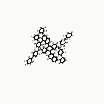 C1=CC(C2C=CC(N(c3ccc(-c4ccccc4)cc3)c3ccc4c(-c5ccc6cc(-c7ccccc7)ccc6c5)c5cc(N(c6ccc(-c7ccccc7)cc6)c6ccc(-c7ccccc7)cc6)ccc5c(-c5ccc6ccccc6c5)c4c3)=CC2)=CCC1